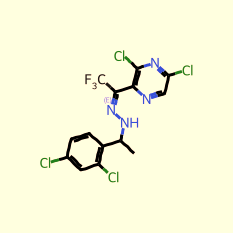 CC(N/N=C(\c1ncc(Cl)nc1Cl)C(F)(F)F)c1ccc(Cl)cc1Cl